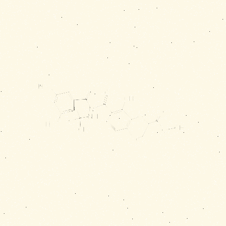 COC(=O)C1COc2ccc(C(=O)N(NC(C)(C)C)C(=O)c3cc(C)cc(C)c3)c(C)c2O1